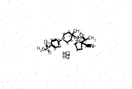 CC(=O)C1(C#N)CCCN1NC1(C)CCN(c2ccc(S(C)(=O)=O)cn2)CC1.Cl.Cl